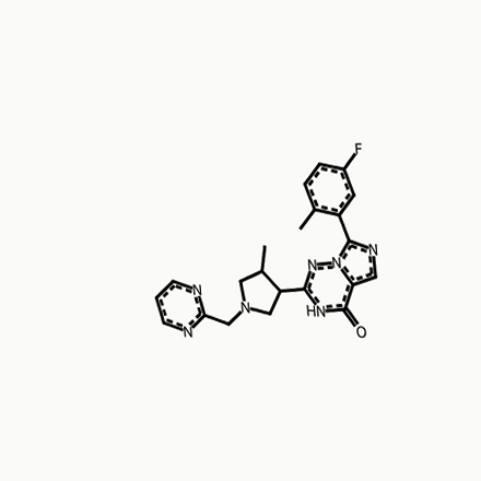 Cc1ccc(F)cc1-c1ncc2c(=O)[nH]c(C3CN(Cc4ncccn4)CC3C)nn12